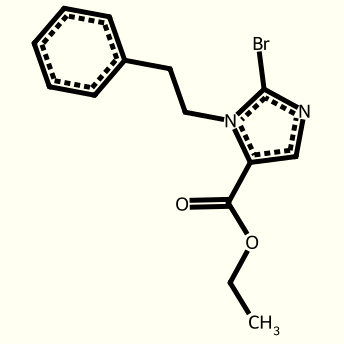 CCOC(=O)c1cnc(Br)n1CCc1ccccc1